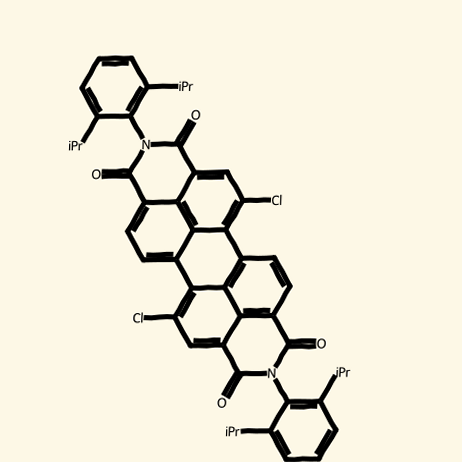 CC(C)c1cccc(C(C)C)c1N1C(=O)c2ccc3c4c(Cl)cc5c6c(ccc(c7c(Cl)cc(c2c37)C1=O)c64)C(=O)N(c1c(C(C)C)cccc1C(C)C)C5=O